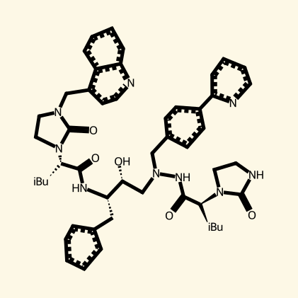 CC[C@H](C)[C@@H](C(=O)NN(Cc1ccc(-c2ccccn2)cc1)C[C@@H](O)[C@H](Cc1ccccc1)NC(=O)[C@H]([C@@H](C)CC)N1CCN(Cc2ccnc3ccccc23)C1=O)N1CCNC1=O